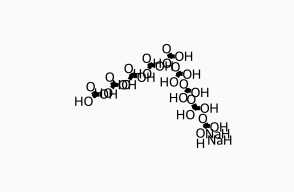 O=C(O)O.O=C(O)O.O=C(O)O.O=C(O)O.O=C(O)O.O=C(O)O.O=C(O)O.O=C(O)O.O=C(O)O.[NaH].[NaH]